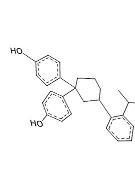 CC(C)c1ccccc1C1CCCC(c2ccc(O)cc2)(c2ccc(O)cc2)C1